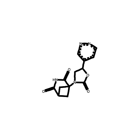 O=C1NC(=O)C2(N3CC(c4ccnnc4)OC3=O)CC1C2